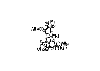 CCCOc1c(Br)cc(C(C#N)(CCCC#N)C2=CC(OC)=CC(OC)(OC)C2)cc1OC